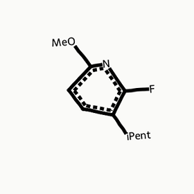 CCCC(C)c1ccc(OC)nc1F